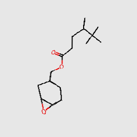 CC(CCC(=O)OCC1CCC2OC2C1)C(C)(C)C